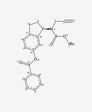 C#CCN(C(=O)OC(C)(C)C)[C@@H]1CCc2ccc(OC(=O)c3ccccc3)cc21